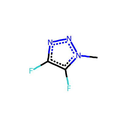 Cn1nnc(F)c1F